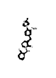 COc1cc(/C=C2\CCCN([C@@H](C)c3ccccc3F)C2=O)ccc1-n1cnc(C)c1